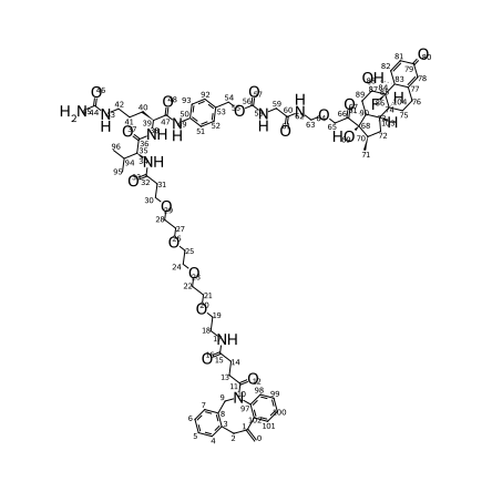 C=C1Cc2ccccc2CN(C(=O)CCC(=O)NCCOCCOCCOCCOCCC(=O)N[C@H](C(=O)N[C@@H](CCCNC(N)=O)C(=O)Nc2ccc(COC(=O)NCC(=O)NCOCC(=O)[C@@]3(O)[C@H](C)C[C@H]4[C@@H]5CCC6=CC(=O)C=C[C@]6(C)[C@@]5(F)[C@@H](O)C[C@@]43C)cc2)C(C)C)c2ccccc21